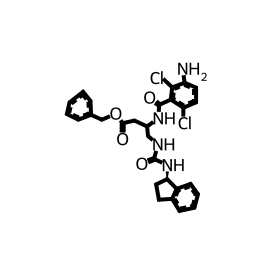 Nc1ccc(Cl)c(C(=O)NC(CNC(=O)N[C@@H]2CCc3ccccc32)CC(=O)OCc2ccccc2)c1Cl